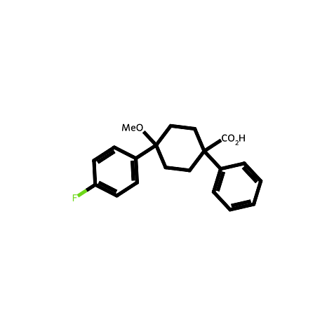 COC1(c2ccc(F)cc2)CCC(C(=O)O)(c2ccccc2)CC1